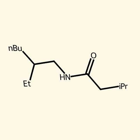 CCCCC(CC)CNC(=O)CC(C)C